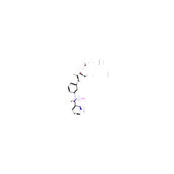 Cc1c(-c2cccc(NC(=O)c3cccnc3O)c2)sc(C(=O)O)c1OCC(=O)O